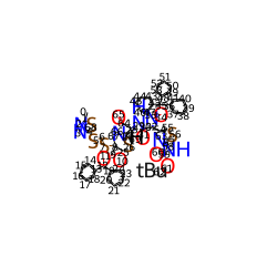 Cc1nnc(SCSC2(C(=O)OC(c3ccccc3)c3ccccc3)CS[C@@H]3C(NC(=O)C(=NOC(c4ccccc4)(c4ccccc4)c4ccccc4)c4csc(NC(=O)OC(C)(C)C)n4)C(=O)N3C2)s1